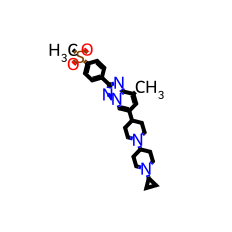 Cc1cc(C2CCN(C3CCN(C4CC4)CC3)CC2)cn2nc(-c3ccc(S(C)(=O)=O)cc3)nc12